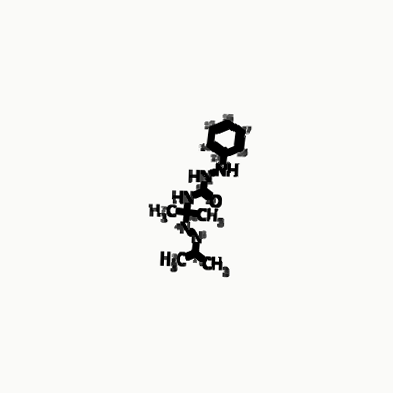 CC(C)N=NC(C)(C)NC(=O)NNc1ccccc1